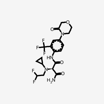 NC(=O)[C@H](C(=O)Nc1ccc(N2CCOCC2=O)cc1C(F)(F)F)N(CC(F)F)C1CC1